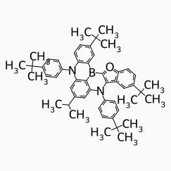 CC(C)c1cc2c3c(c1)N(c1ccc(C(C)(C)C)cc1)c1c(oc4ccc(C(C)(C)C)cc14)B3c1cc(C(C)(C)C)ccc1N2c1ccc(C(C)(C)C)cc1